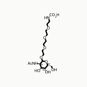 CC(=O)N[C@H]1C(OCCOCCOCCOCCNC(=O)O)O[C@H](CO)[C@H](O)[C@@H]1O